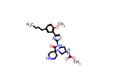 CCCCc1ccc(OC)c(-c2csc(NC(=O)C3(N4CCC(NC(=O)OC)C4)CCNCC3)n2)c1